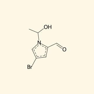 CC(O)n1cc(Br)cc1C=O